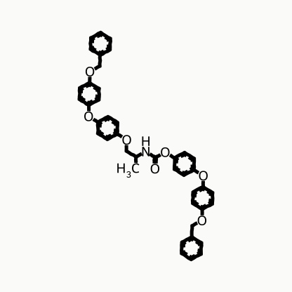 CC(COc1ccc(Oc2ccc(OCc3ccccc3)cc2)cc1)NC(=O)Oc1ccc(Oc2ccc(OCc3ccccc3)cc2)cc1